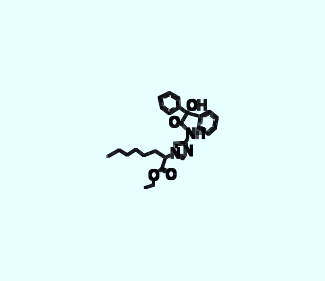 CCCCCCC(C(=O)OCC)n1cnc(NC(=O)C(O)(c2ccccc2)c2ccccc2)c1